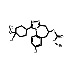 CCOC1(CC)CCC(c2nnc3n2-c2ccc(Cl)cc2CC(NC(=O)OC(C)(C)C)C3)CC1